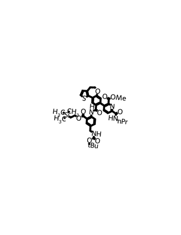 CCCNC(=O)c1ccc(-c2cc3c(cc2C(=O)Nc2ccc(CNC(=O)OC(C)(C)C)cc2C(=O)OCC[Si](C)(C)C)-c2sccc2CCO3)c(C(=O)OC)n1